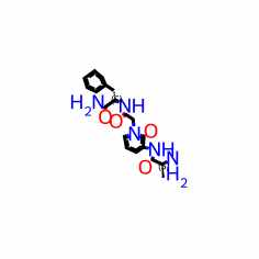 C[C@H](N)C(=O)Nc1cccn(CC(=O)N[C@@H](Cc2ccccc2)C(N)=O)c1=O